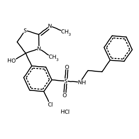 CN=C1SCC(O)(c2ccc(Cl)c(S(=O)(=O)NCCc3ccccc3)c2)N1C.Cl